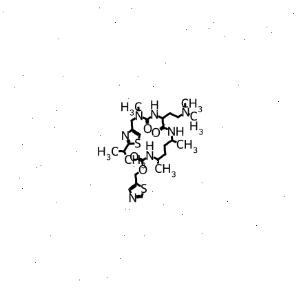 CC(CCC(C)NC(=O)C(CCN(C)C)NC(=O)N(C)Cc1csc(C(C)C)n1)NC(=O)OCc1cncs1